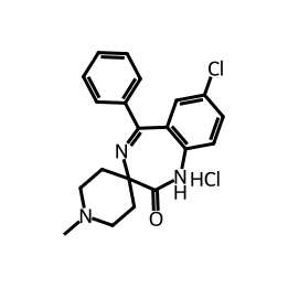 CN1CCC2(CC1)N=C(c1ccccc1)c1cc(Cl)ccc1NC2=O.Cl